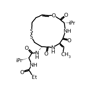 C/C=C1\NC(=O)[C@H](NC(=O)[C@H](NC(=O)CC)C(C)C)CSSCC/C=C/OC(=O)[C@H](C(C)C)NC1=O